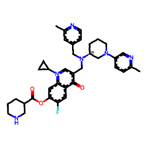 Cc1ccc(N2CCC[C@H](N(Cc3ccnc(C)c3)Cc3cn(C4CC4)c4cc(OC(=O)C5CCCNC5)c(F)cc4c3=O)C2)cn1